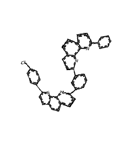 Clc1ccc(-c2ccc3ccc4ccc(-c5cccc(-c6ccc7ccc8ccc(-c9ccccc9)nc8c7n6)c5)nc4c3n2)cc1